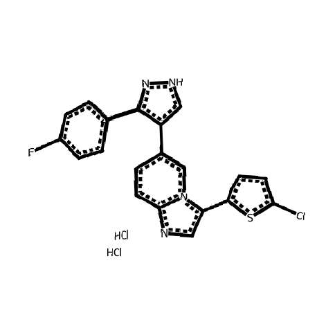 Cl.Cl.Fc1ccc(-c2n[nH]cc2-c2ccc3ncc(-c4ccc(Cl)s4)n3c2)cc1